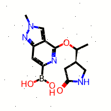 CC(Oc1nc(B(O)O)cc2nn(C)cc12)[C@H]1CNC(=O)C1